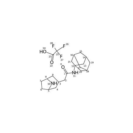 O=C(CC1CC2CCC(C1)N2)NC12CC3CC(CC(C3)C1)C2.O=C(O)C(F)(F)F